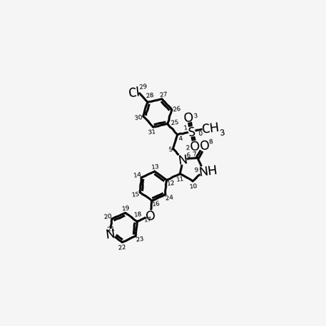 CS(=O)(=O)C(CN1C(=O)NCC1c1cccc(Oc2ccncc2)c1)c1ccc(Cl)cc1